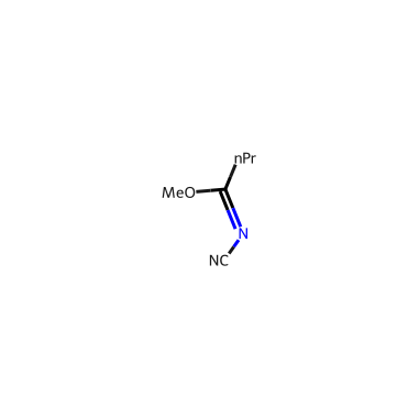 CCC/C(=N/C#N)OC